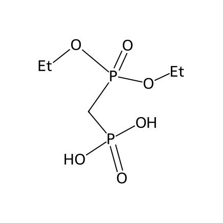 CCOP(=O)(CP(=O)(O)O)OCC